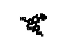 Cc1cc(C2=NN(c3ncon3)C(C)Cc3cc(CO)c(CO)cc32)ccc1N